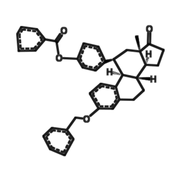 C[C@]12C[C@H](c3ccc(OC(=O)c4ccccc4)cc3)[C@@H]3c4ccc(OCc5ccccc5)cc4CC[C@H]3[C@@H]1CCC2=O